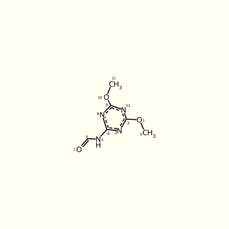 COc1nc(N[C]=O)nc(OC)n1